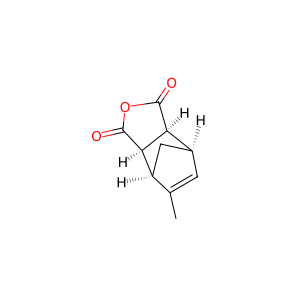 CC1=C[C@H]2C[C@@H]1[C@H]1C(=O)OC(=O)[C@H]12